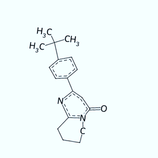 CC(C)(C)c1ccc(-c2cc(=O)n3c(n2)CCCC3)cc1